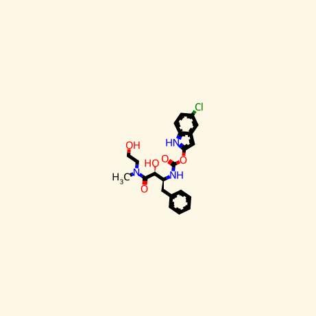 CN(CCO)C(=O)[C@H](O)[C@H](Cc1ccccc1)NC(=O)Oc1cc2cc(Cl)ccc2[nH]1